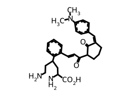 CN(C)c1ccc(/C=C2/CCCC(C(=O)/C=C/c3ccccc3C(CCN)CC(N)C(=O)O)C2=O)cc1